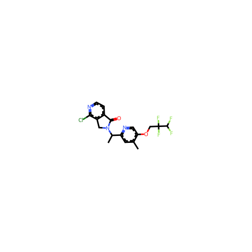 Cc1cc(C(C)N2Cc3c(ccnc3Cl)C2=O)ncc1OCC(F)(F)C(F)F